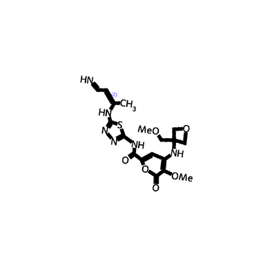 COCC1(Nc2cc(C(=O)Nc3nnc(N/C(C)=C\C=N)s3)oc(=O)c2OC)COC1